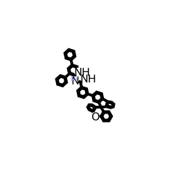 N=C(/N=c1\[nH]cc(-c2ccccc2)cc1-c1ccccc1)c1cccc(-c2ccc3c(c2)C2(c4ccccc4Oc4ccccc42)c2ccccc2-3)c1